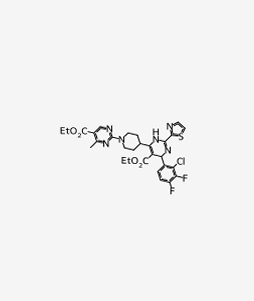 CCOC(=O)C1=C(C2CCN(c3ncc(C(=O)OCC)c(C)n3)CC2)NC(c2nccs2)=NC1c1ccc(F)c(F)c1Cl